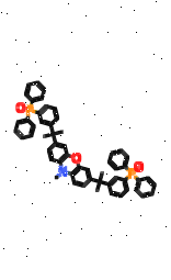 CN1c2ccc(C(C)(C)c3cccc(P(=O)(c4ccccc4)c4ccccc4)c3)cc2Oc2cc(C(C)(C)c3cccc(P(=O)(c4ccccc4)c4ccccc4)c3)ccc21